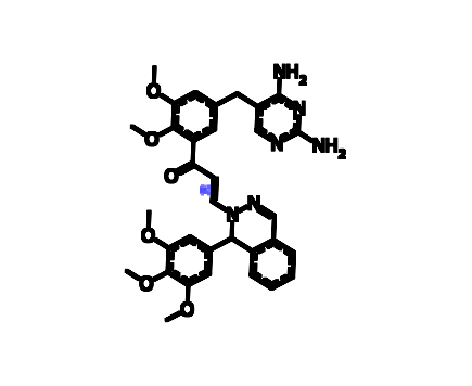 COc1cc(C2c3ccccc3C=NN2/C=C/C(=O)c2cc(Cc3cnc(N)nc3N)cc(OC)c2OC)cc(OC)c1OC